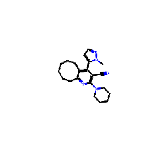 Cn1nccc1-c1c(C#N)c(N2CCCCC2)nc2c1CCCCCC2